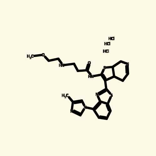 COCCNCCC(=O)NC1=C(c2nc3c(-n4cnc(C)c4)cccc3s2)C2CC=NCC2S1.Cl.Cl.Cl